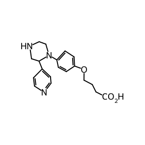 O=C(O)CCCOc1ccc(N2CCNCC2c2ccncc2)cc1